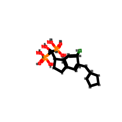 O=P(O)(O)C(O)(C1CCc2cc(CC3CCCC3)c(Cl)cc21)P(=O)(O)O